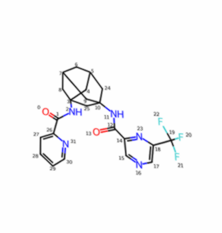 O=C(NC12CC3CC(C1)CC(NC(=O)c1cncc(C(F)(F)F)n1)(C3)C2)c1ccccn1